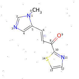 Cn1cncc1/C=C/C(=O)c1nccs1